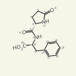 O=C1CC[C@@H](C(=O)N[C@@H](Cc2ccccc2)C(=O)O)N1